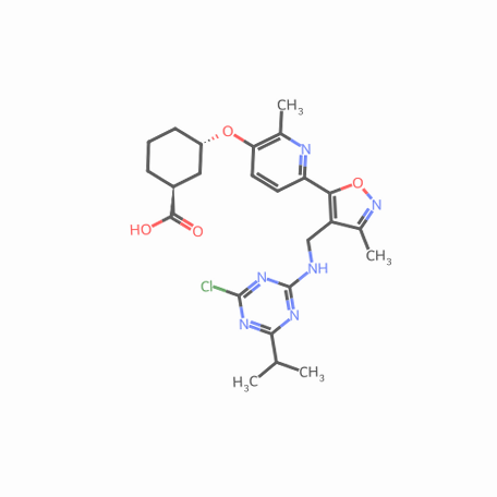 Cc1nc(-c2onc(C)c2CNc2nc(Cl)nc(C(C)C)n2)ccc1O[C@H]1CCC[C@H](C(=O)O)C1